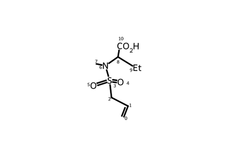 C=CCS(=O)(=O)N(C)C(CC)C(=O)O